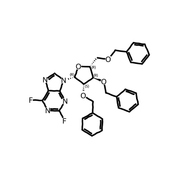 Fc1nc(F)c2ncn([C@@H]3O[C@H](COCc4ccccc4)[C@@H](OCc4ccccc4)[C@@H]3OCc3ccccc3)c2n1